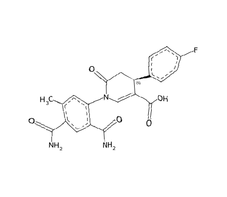 Cc1cc(N2C=C(C(=O)O)[C@H](c3ccc(F)cc3)CC2=O)c(C(N)=O)cc1C(N)=O